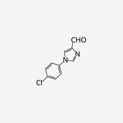 O=Cc1cn(-c2ccc(Cl)cc2)cn1